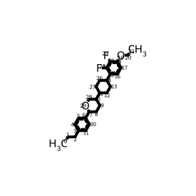 CCCc1ccc(C2CCC(C3CCC(c4ccc(OCC)c(F)c4F)CC3)CO2)cc1